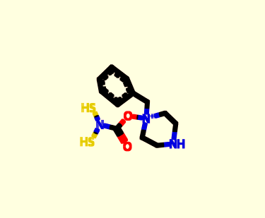 O=C(O[N+]1(Cc2ccccc2)CCNCC1)N(S)S